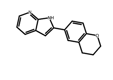 c1cnc2[nH]c(-c3ccc4c(c3)CCCO4)cc2c1